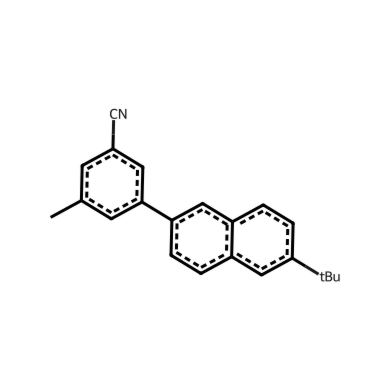 Cc1cc(C#N)cc(-c2ccc3cc(C(C)(C)C)ccc3c2)c1